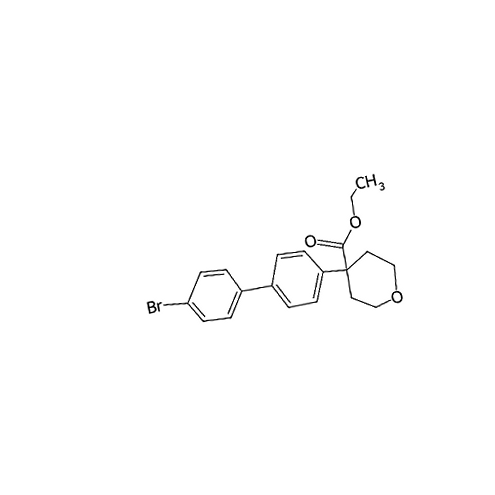 CCOC(=O)C1(c2ccc(-c3ccc(Br)cc3)cc2)CCOCC1